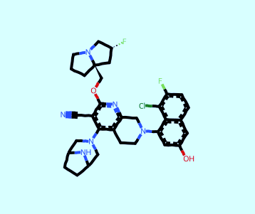 N#Cc1c(OC[C@@]23CCCN2C[C@H](F)C3)nc2c(c1N1CC3CCC(C1)N3)CCN(c1cc(O)cc3ccc(F)c(Cl)c13)C2